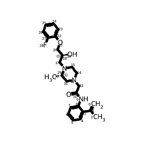 C=C(C)c1ccccc1NC(=O)CN1CCN(C[C@H](O)COc2ccccc2F)[C@@H](C)C1